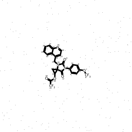 O=C1N(c2ccc(OC(F)(F)F)cc2)C(=O)C2(CC2OC(=O)C(F)(F)F)N1Cc1ccnc2ccccc12